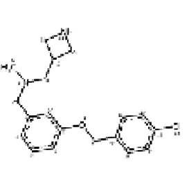 CN(Cc1cccc(OCc2ccc(Cl)cc2)c1)CC1CNC1